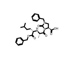 CC(C)CC[C@H](N[C@@H](C)C(=O)N1C(=O)N(Cc2ccccc2)C[C@H]1C(=O)O)C(=O)OCc1ccccc1